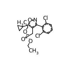 CCOP(=O)(Cc1c(-c2c(Cl)cccc2Cl)noc1C1CC1)OCC